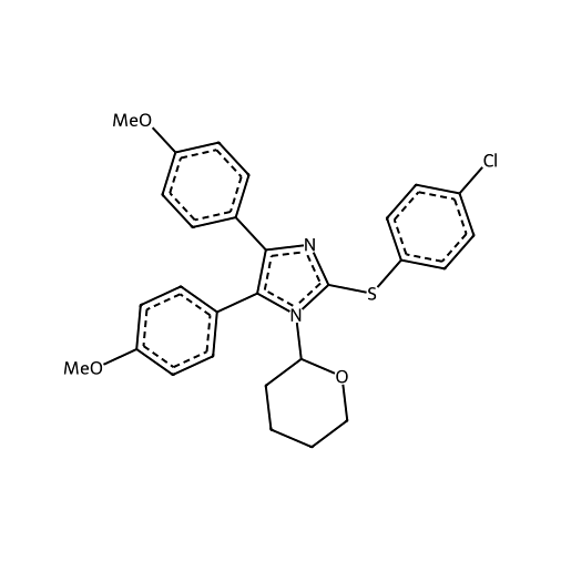 COc1ccc(-c2nc(Sc3ccc(Cl)cc3)n(C3CCCCO3)c2-c2ccc(OC)cc2)cc1